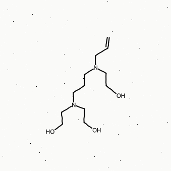 C=CCN(CCO)CCCN(CCO)CCO